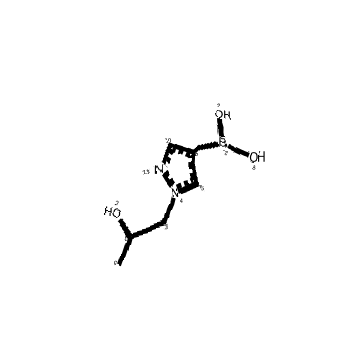 CC(O)Cn1cc(B(O)O)cn1